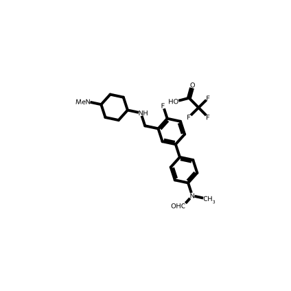 CNC1CCC(NCc2cc(-c3ccc(N(C)C=O)cc3)ccc2F)CC1.O=C(O)C(F)(F)F